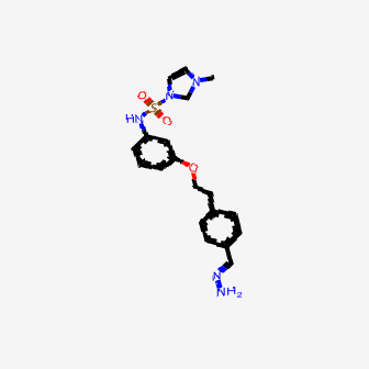 CN1C=CN(S(=O)(=O)Nc2cccc(OCCc3ccc(C=NN)cc3)c2)C1